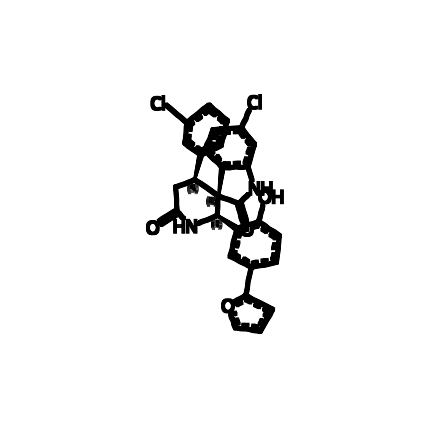 O=C1C[C@@H](c2cccc(Cl)c2)[C@]2(C(=O)Nc3cc(Cl)ccc32)[C@@H](c2cc(-c3ccco3)ccc2O)N1